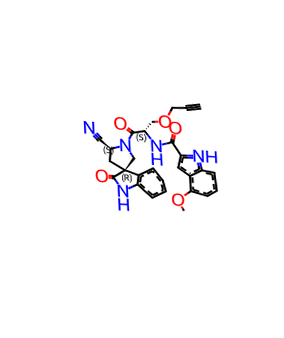 C#CCOC[C@H](NC(=O)c1cc2c(OC)cccc2[nH]1)C(=O)N1C[C@]2(C[C@H]1C#N)C(=O)Nc1ccccc12